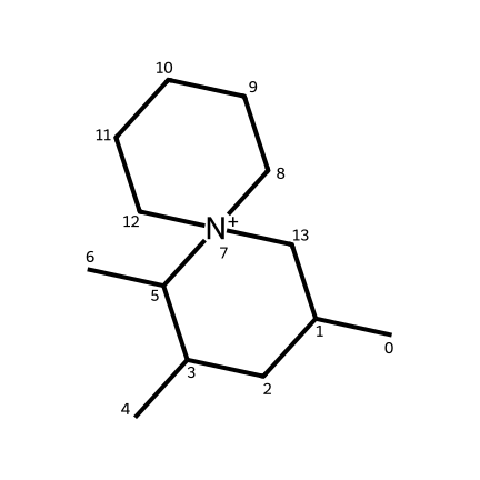 CC1CC(C)C(C)[N+]2(CCCCC2)C1